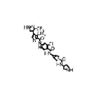 Cn1c(-c2c[nH]nc2C(F)(F)F)cnc1C(=O)Nc1ccc(C(=O)NC2C3CN(C(=O)NC4CCNC4)CC32)c(Cl)c1